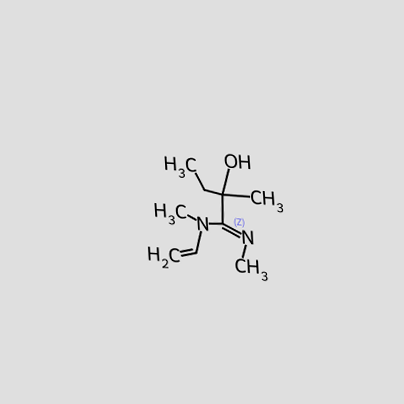 C=CN(C)/C(=N\C)C(C)(O)CC